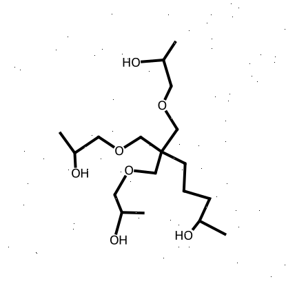 CC(O)CCCC(COCC(C)O)(COCC(C)O)COCC(C)O